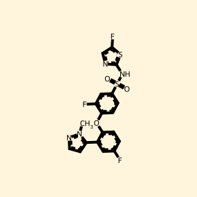 Cn1nccc1-c1cc(F)ccc1Oc1ccc(S(=O)(=O)Nc2ncc(F)s2)cc1F